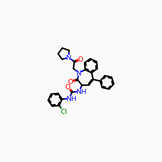 O=C(Nc1ccccc1Cl)NC1C=C(c2ccccc2)c2ccccc2N(CC(=O)N2CCCC2)C1=O